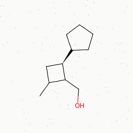 CC1C[C@@H](C2CCCC2)C1CO